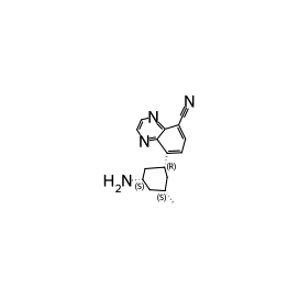 C[C@@H]1C[C@H](N)C[C@H](c2ccc(C#N)c3nccnc23)C1